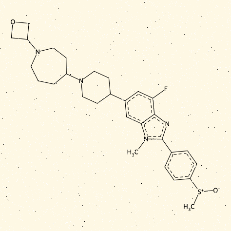 Cn1c(-c2ccc([S+](C)[O-])cc2)nc2c(F)cc(C3CCN(C4CCCN(C5COC5)CC4)CC3)cc21